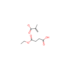 C=C(C)C([O])=O.CCOC(=O)CCC(=O)O